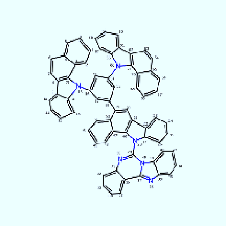 c1ccc2c(c1)ccc1c3ccccc3n(-c3cc(-c4cc5c6ccccc6n(-c6nc7ccccc7c7nc8ccccc8n67)c5c5ccccc45)cc(-n4c5ccccc5c5ccc6ccccc6c54)c3)c21